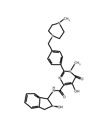 CN1CCN(Cc2ccc(-c3nc(C(=O)NC4c5ccccc5C[C@@H]4O)c(O)c(=O)n3C)cc2)CC1